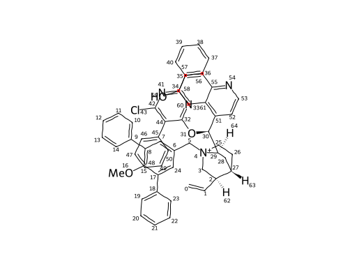 C=C[C@H]1C[N+]2(Cc3cc(-c4ccccc4)c(OC)c(-c4ccccc4)c3)CC[C@H]1C[C@@H]2[C@@H](Oc1nc(-c2ccccc2)nc(Cl)c1-c1ccccc1)c1ccnc2ccc(O)cc12